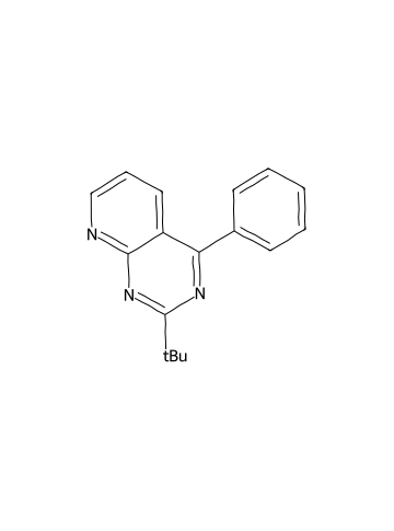 CC(C)(C)c1nc(-c2ccccc2)c2cccnc2n1